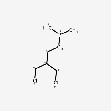 CP(C)OCC(CCl)CCl